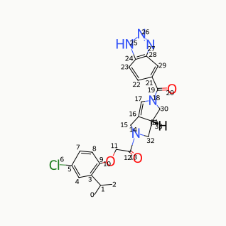 CC(C)c1cc(Cl)ccc1OCC(=O)N1CC2=CN(C(=O)c3ccc4[nH]nnc4c3)C[C@@H]2C1